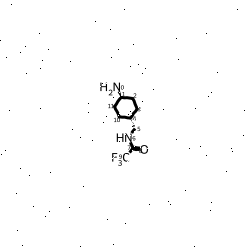 N[C@H]1CC[C@H](CNC(=O)C(F)(F)F)CC1